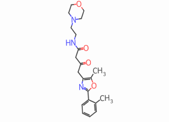 Cc1ccccc1-c1nc(CC(=O)CC(=O)NCCN2CCOCC2)c(C)o1